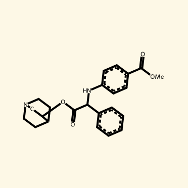 COC(=O)c1ccc(NC(C(=O)OC2CN3CCC2CC3)c2ccccc2)cc1